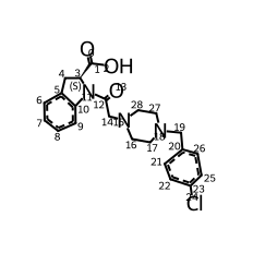 O=C(O)[C@@H]1Cc2ccccc2N1C(=O)CN1CCN(Cc2ccc(Cl)cc2)CC1